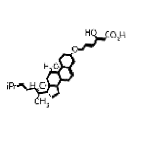 CC(C)CCC[C@@H](C)[C@H]1CCC2C3CC=C4C[C@@H](OC/C=C/C(O)=C/C(=O)O)CC[C@]4(C)C3CC[C@@]21C